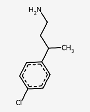 CC(CCN)c1ccc(Cl)cc1